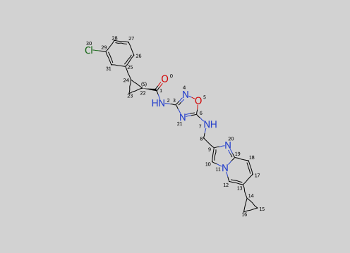 O=C(Nc1noc(NCc2cn3cc(C4CC4)ccc3n2)n1)[C@H]1CC1c1cccc(Cl)c1